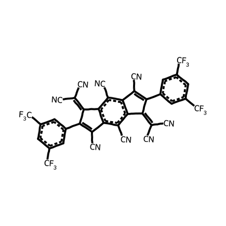 N#CC(C#N)=C1C(c2cc(C(F)(F)F)cc(C(F)(F)F)c2)=C(C#N)c2c(C#N)c3c(c(C#N)c21)C(C#N)=C(c1cc(C(F)(F)F)cc(C(F)(F)F)c1)C3=C(C#N)C#N